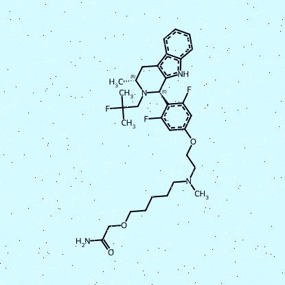 C[C@@H]1Cc2c([nH]c3ccccc23)[C@@H](c2c(F)cc(OCCN(C)CCCCCOCC(N)=O)cc2F)N1CC(C)(C)F